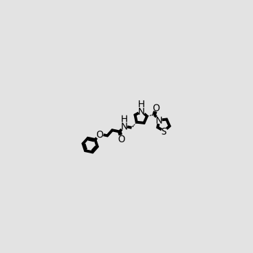 O=C(CCOc1ccccc1)NC[C@@H]1CN[C@H](C(=O)N2CCSC2)C1